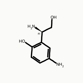 Nc1ccc(O)c([C@@H](N)CO)c1